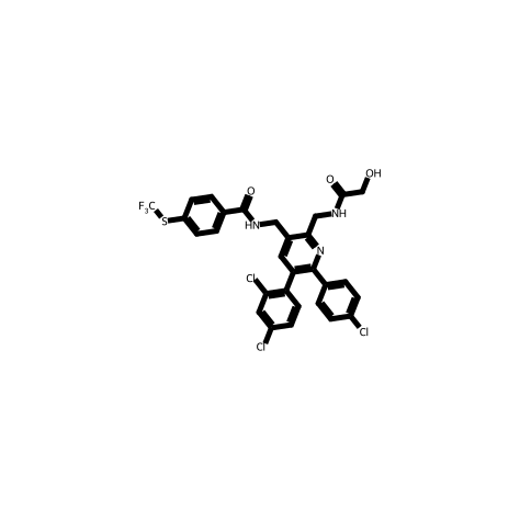 O=C(CO)NCc1nc(-c2ccc(Cl)cc2)c(-c2ccc(Cl)cc2Cl)cc1CNC(=O)c1ccc(SC(F)(F)F)cc1